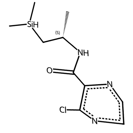 C[C@@H](C[SiH](C)C)NC(=O)c1nccnc1Cl